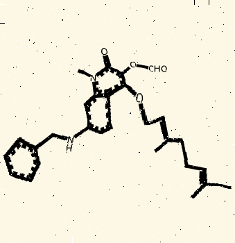 CC(C)=CCC/C(C)=C/COc1c(OC=O)c(=O)n(C)c2cc(NCc3ccccc3)ccc12